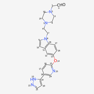 O=CCN1CCN(CCn2ccc3cc(Oc4ccc(-c5ccn[nH]5)cn4)ccc32)CC1